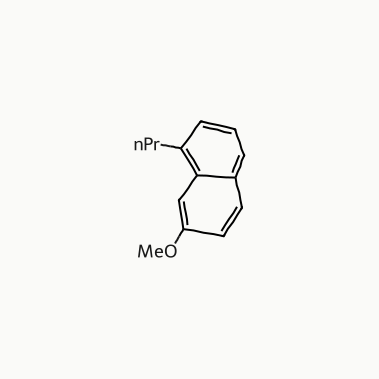 CCCc1cccc2ccc(OC)cc12